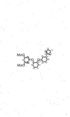 COc1cc(OC)nc(Oc2ccccc2Oc2cccc(-c3ncco3)c2)n1